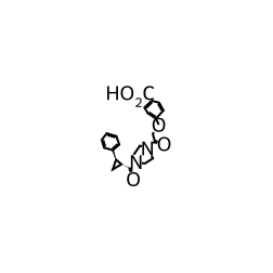 O=C(O)c1ccc(OCC(=O)N2CCN(C(=O)[C@@H]3C[C@H]3c3ccccc3)CC2)cc1